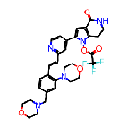 O=C1NCCc2c1cc(-c1ccnc(C=Cc3ccc(CN4CCOCC4)cc3N3CCOCC3)c1)n2OC(=O)C(F)(F)F